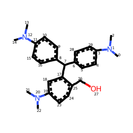 CN(C)c1ccc(C(c2ccc(N(C)C)cc2)c2cc(N(C)C)ccc2CO)cc1